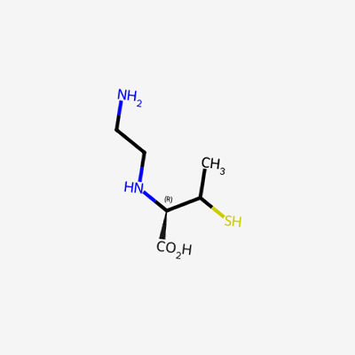 CC(S)[C@H](NCCN)C(=O)O